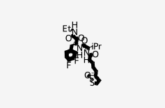 CCNC(=O)C(=O)[C@H](Cc1ccc(F)c(F)c1)NC(=O)[C@@H](NC(=O)CCCCC1CCS[S+]1[O-])C(C)C